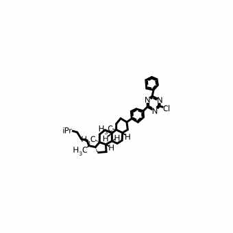 CC(C)CCC[C@@H](C)[C@H]1CC[C@H]2[C@@H]3CC[C@H]4CC(c5ccc(-c6nc(Cl)nc(-c7ccccc7)n6)cc5)CC[C@]4(C)[C@H]3CC[C@]12C